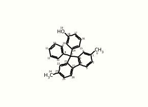 Cc1ccc2c(c1)C(c1ccccc1)(c1cccc(O)c1)c1cc(C)ccc1-2